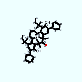 CCC(C)(C)c1cc(-c2ccccc2)c(O)c(C(C)(C)CC)c1-c1cccc(-c2c(C(C)(C)CC)cc(-c3ccccc3)c(O)c2C(C)(C)CC)n1